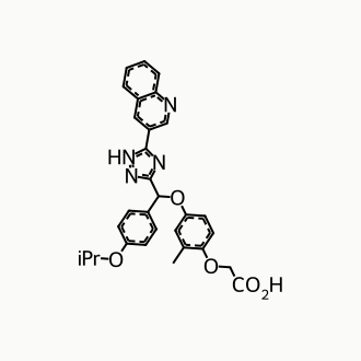 Cc1cc(OC(c2ccc(OC(C)C)cc2)c2n[nH]c(-c3cnc4ccccc4c3)n2)ccc1OCC(=O)O